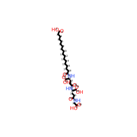 O=C(O)CCCCCCCCCCCCCCCCC(=O)N[C@@H](CCC(=O)N[C@@H](CCC(=O)NCC(=O)O)C(=O)O)C(=O)O